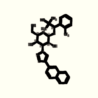 CC(C)(O)[C@H](S[C@@H]1O[C@H](CO)[C@H](O)[C@H](n2cc(-c3ccc4ccccc4c3)nn2)[C@H]1O)c1ccccc1C(F)(F)F